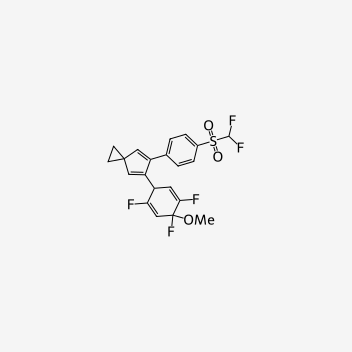 COC1(F)C=C(F)C(C2=CC3(C=C2c2ccc(S(=O)(=O)C(F)F)cc2)CC3)C=C1F